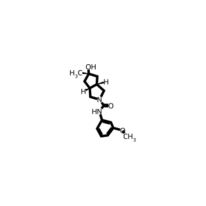 COc1cccc(NC(=O)N2C[C@@H]3C[C@](C)(O)C[C@@H]3C2)c1